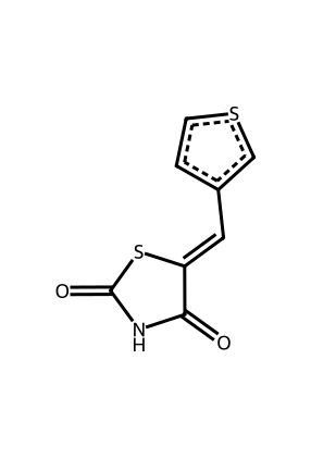 O=C1NC(=O)C(=Cc2ccsc2)S1